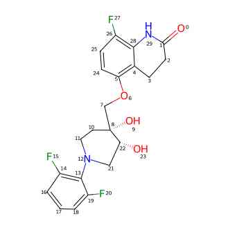 O=C1CCc2c(OC[C@]3(O)CCN(c4c(F)cccc4F)C[C@H]3O)ccc(F)c2N1